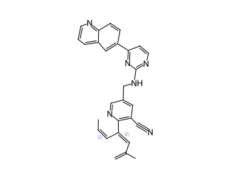 C=C(C)/C=C(\C=C/C)c1ncc(CNc2nccc(-c3ccc4ncccc4c3)n2)cc1C#N